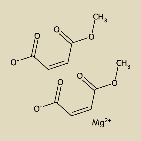 COC(=O)/C=C\C(=O)[O-].COC(=O)/C=C\C(=O)[O-].[Mg+2]